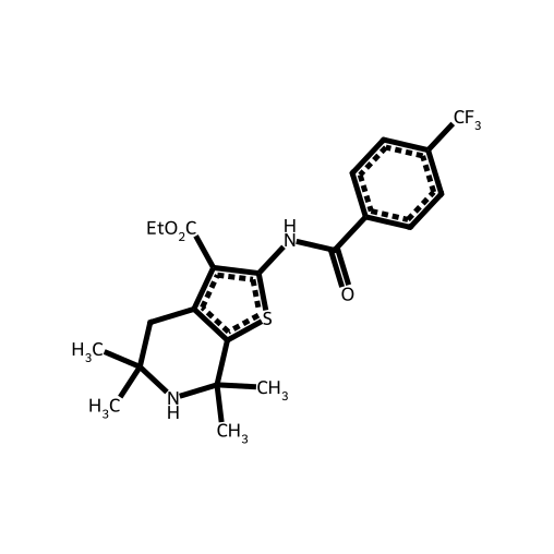 CCOC(=O)c1c(NC(=O)c2ccc(C(F)(F)F)cc2)sc2c1CC(C)(C)NC2(C)C